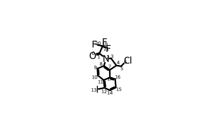 O=C(N1CC(CCl)c2c1ccc1c(I)cccc21)C(F)(F)F